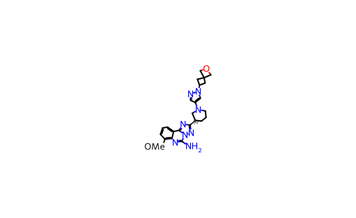 COc1cccc2c1nc(N)n1nc([C@@H]3CCCN(c4cnn(C5CC6(COC6)C5)c4)C3)nc21